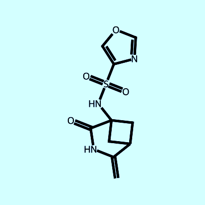 C=C1NC(=O)C2(NS(=O)(=O)c3cocn3)CC1C2